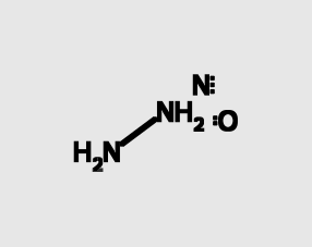 NN.[N].[O]